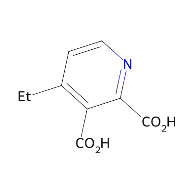 CCc1ccnc(C(=O)O)c1C(=O)O